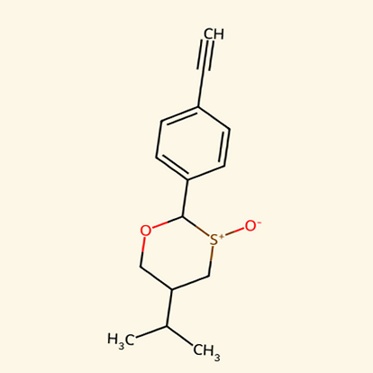 C#Cc1ccc(C2OCC(C(C)C)C[S+]2[O-])cc1